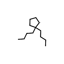 CCCCC1(CCCC)[CH]CCC1